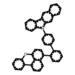 c1ccc2c(c1)Oc1ccc(-c3ccccc3-c3ccc(-n4c5ccccc5c5cc6ccccc6cc54)cc3)c3cccc-2c13